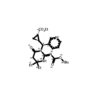 CCOC(=O)[C@H]1C[C@@H]1[C@@H](c1cccnc1)N1C(=O)CC(CC)(CC)N/C1=N\C(=O)OC(C)(C)C